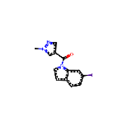 Cn1cc(C(=O)n2ccc3ccc(I)cc32)cn1